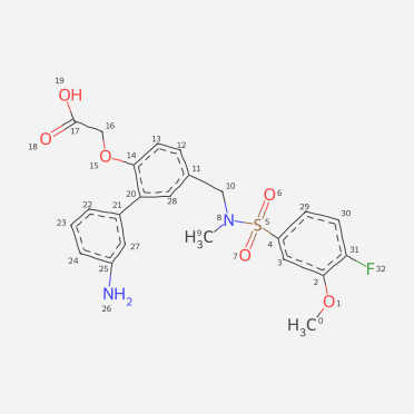 COc1cc(S(=O)(=O)N(C)Cc2ccc(OCC(=O)O)c(-c3cccc(N)c3)c2)ccc1F